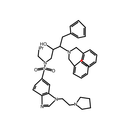 CC(C)CN(CC(O)C(Cc1ccccc1)N(Cc1ccccc1)Cc1ccccc1)S(=O)(=O)c1ccc2ncn(CCN3CCCC3)c2c1